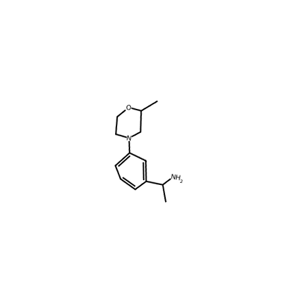 CC1CN(c2cccc(C(C)N)c2)CCO1